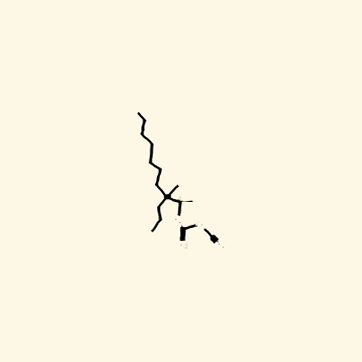 CCCCCCCC(C)(CCC)[C@@H](C)NC(=N)NC#N